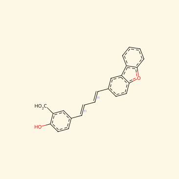 O=C(O)c1cc(/C=C/C=C/c2ccc3oc4ccccc4c3c2)ccc1O